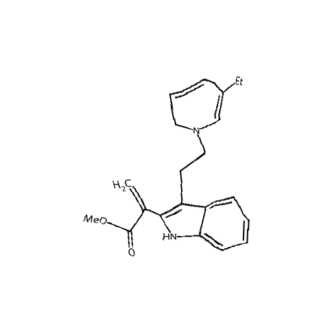 C=C(C(=O)OC)c1[nH]c2ccccc2c1CCN1C=C(CC)C=CC1